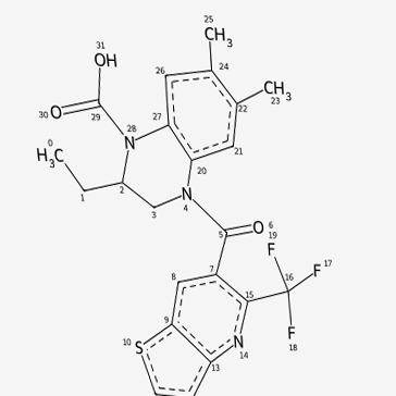 CCC1CN(C(=O)c2cc3sccc3nc2C(F)(F)F)c2cc(C)c(C)cc2N1C(=O)O